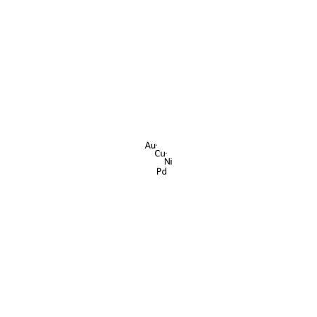 [Au].[Cu].[Ni].[Pd]